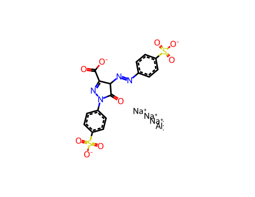 O=C([O-])C1=NN(c2ccc(S(=O)(=O)[O-])cc2)C(=O)C1N=Nc1ccc(S(=O)(=O)[O-])cc1.[Al].[Na+].[Na+].[Na+]